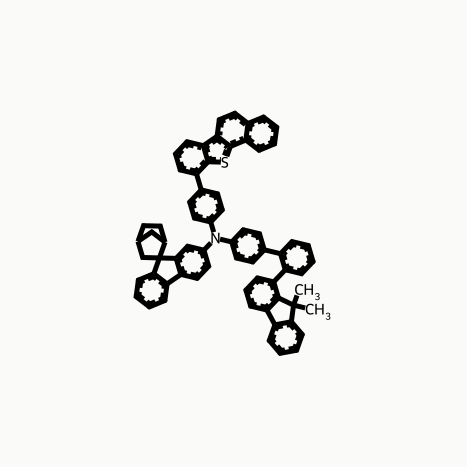 CC1(C)c2ccccc2-c2cccc(-c3ccccc3-c3ccc(N(c4ccc(-c5cccc6c5sc5c7ccccc7ccc65)cc4)c4ccc5c(c4)C4(CC6CCC4C6)c4ccccc4-5)cc3)c21